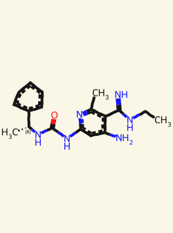 CCNC(=N)c1c(N)cc(NC(=O)N[C@H](C)c2ccccc2)nc1C